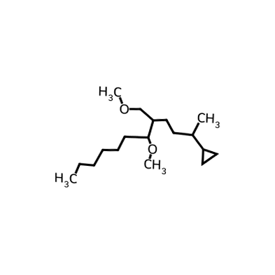 CCCCCCC(OC)C(CCC(C)C1CC1)COC